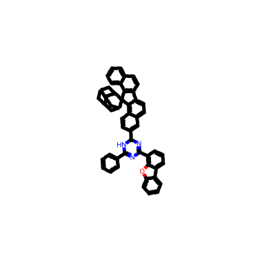 c1ccc(C2=NC(c3cccc4c3oc3ccccc34)=NC(c3ccc4c5c(ccc4c3)-c3ccc4ccccc4c3C53C4CC5CC(C4)CC3C5)N2)cc1